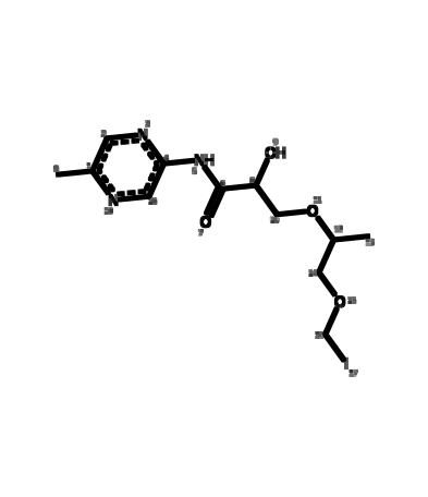 Cc1cnc(NC(=O)C(O)COC(C)COCI)cn1